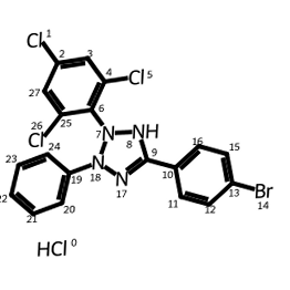 Cl.Clc1cc(Cl)c(N2NC(c3ccc(Br)cc3)=NN2c2ccccc2)c(Cl)c1